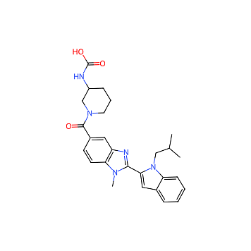 CC(C)Cn1c(-c2nc3cc(C(=O)N4CCCC(NC(=O)O)C4)ccc3n2C)cc2ccccc21